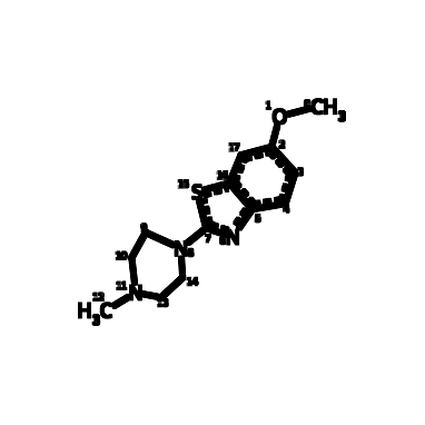 COc1ccc2nc(N3CCN(C)CC3)sc2c1